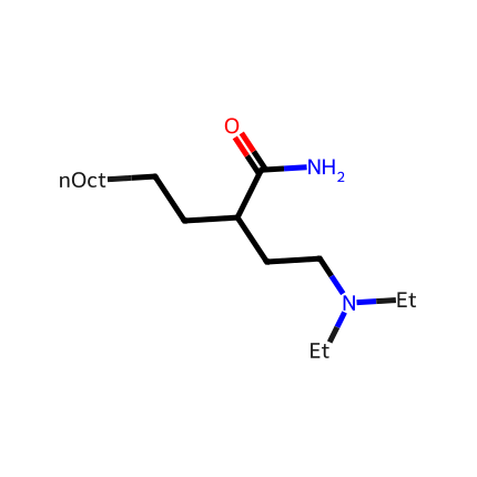 CCCCCCCCCCC(CCN(CC)CC)C(N)=O